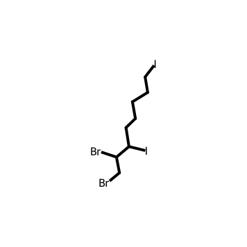 BrCC(Br)C(I)CCCCCI